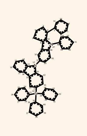 c1ccc(-c2cccc3c4cc(-n5c6ccccc6c6cc([Si](c7ccccc7)(c7ccccc7)c7ccccc7)ccc65)ccc4n(-c4ccccc4)c23)cc1